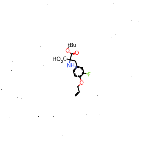 C=CCOc1ccc(CC(N)(C(=O)O)C(=O)OC(C)(C)C)cc1F